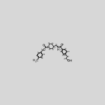 Cc1ccc(COC(=O)N2CCC(CNC(=O)c3ccc(CCO)cc3)CC2)cc1